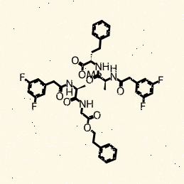 COC(=O)[C@H](CCc1ccccc1)NC(=O)[C@H](C)NC(=O)Cc1cc(F)cc(F)c1.C[C@H](NC(=O)Cc1cc(F)cc(F)c1)C(=O)NCC(=O)OCCc1ccccc1